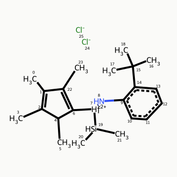 CC1=C(C)C(C)[C]([Hf+2]([NH]c2ccccc2C(C)(C)C)[SiH](C)C)=C1C.[Cl-].[Cl-]